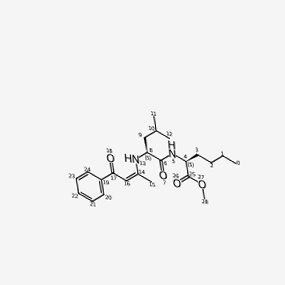 CCCC[C@H](NC(=O)[C@H](CC(C)C)NC(C)=CC(=O)c1ccccc1)C(=O)OC